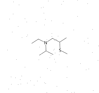 CCN(CC(C)SC)C(C)C